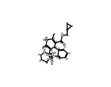 CC1=C(C(=O)OCC2CC2)C(c2ccccc2[N+](=O)[O-])C(P2(=O)OCCCO2)=C(C)N1